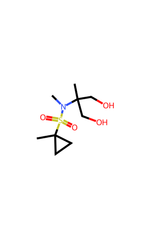 CN(C(C)(CO)CO)S(=O)(=O)C1(C)CC1